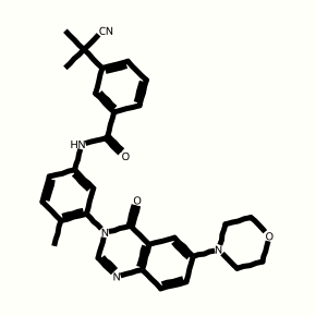 Cc1ccc(NC(=O)c2cccc(C(C)(C)C#N)c2)cc1-n1cnc2ccc(N3CCOCC3)cc2c1=O